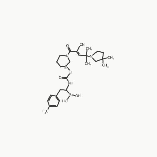 CC1(C)CCN(C(C)(C)C=C(C#N)C(=O)N2CCC[C@H](OC(=O)NC(Cc3ccc(C(F)(F)F)cc3)B(O)O)C2)C1